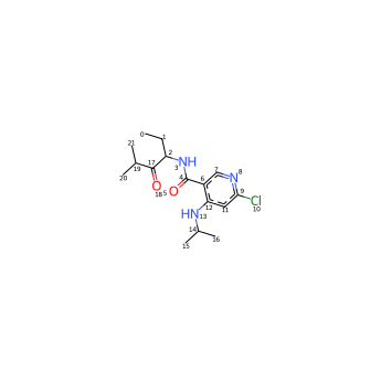 CCC(NC(=O)c1cnc(Cl)cc1NC(C)C)C(=O)C(C)C